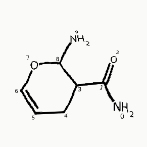 NC(=O)C1CC=COC1N